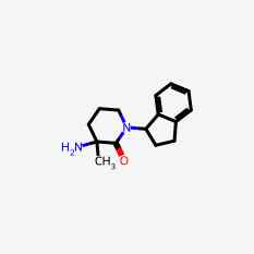 CC1(N)CCCN(C2CCc3ccccc32)C1=O